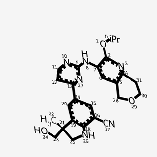 CC(C)Oc1nc2c(cc1Nc1nccc(-c3cc(C#N)c4c(c3)[C@@](C)(CO)CN4)n1)COCC2